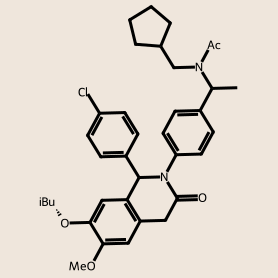 CC[C@@H](C)Oc1cc2c(cc1OC)CC(=O)N(c1ccc(C(C)N(CC3CCCC3)C(C)=O)cc1)C2c1ccc(Cl)cc1